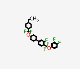 C=CC1CCC(C(F)(F)OC2CCC(c3ccc(C(F)(F)Oc4ccc(F)c(F)c4)c(F)c3)CC2)CC1